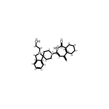 C=C1C=C(N2CCC3(CC2)c2ccccc2CN3CCO)NC(=O)C2=C1CCCC2